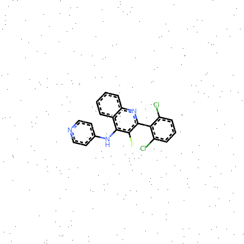 Fc1c(-c2c(Cl)cccc2Cl)nc2ccccc2c1Nc1ccncc1